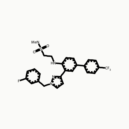 CNS(=O)(=O)CCNc1ccc(-c2ccc(C(F)(F)F)cc2)cc1-c1ccn(Cc2cccc(F)c2)n1